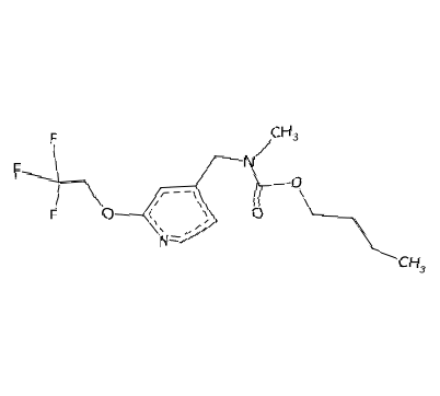 CCCCOC(=O)N(C)Cc1ccnc(OCC(F)(F)F)c1